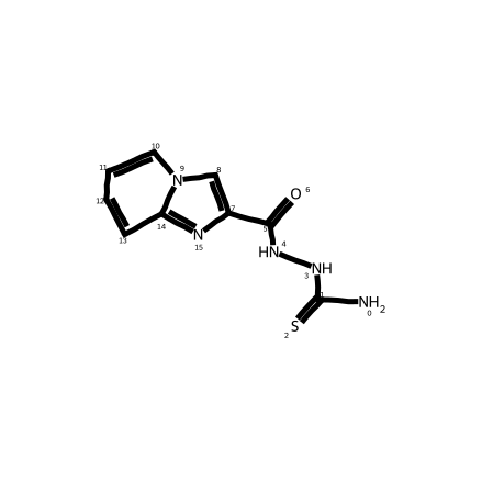 NC(=S)NNC(=O)c1cn2ccccc2n1